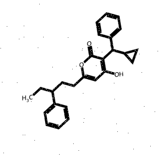 CCC(CCc1cc(O)c(C(c2ccccc2)C2CC2)c(=O)o1)c1ccccc1